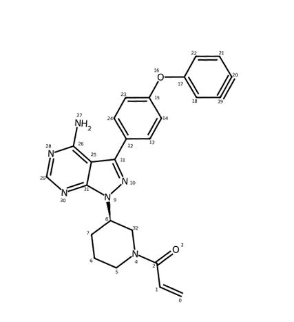 C=CC(=O)N1CCC[C@@H](n2nc(-c3ccc(Oc4cc#ccc4)cc3)c3c(N)ncnc32)C1